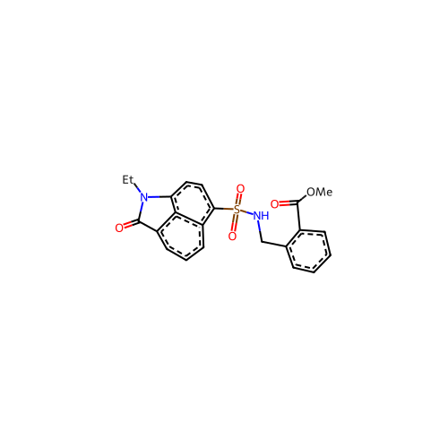 CCN1C(=O)c2cccc3c(S(=O)(=O)NCc4ccccc4C(=O)OC)ccc1c23